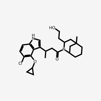 CC(CC(=O)N1C(CCO)CC2(C)CCCC1C2)c1c[nH]c2ccc(Cl)c(OC3CC3)c12